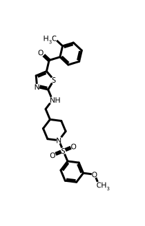 COc1cccc(S(=O)(=O)N2CCC(CNc3ncc(C(=O)c4ccccc4C)s3)CC2)c1